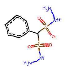 NNS(=O)(=O)C(c1ccccc1)S(=O)(=O)NN